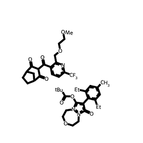 CCc1cc(C)cc(CC)c1-c1c(OC(=O)C(C)(C)C)n2n(c1=O)CCOCC2.COCCOCc1nc(C(F)(F)F)ccc1C(=O)C1C(=O)C2CCC(C2)C1=O